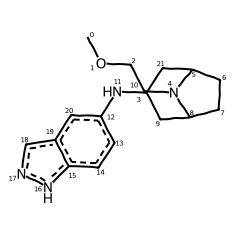 COCCN1C2CCC1CC(Nc1ccc3[nH]ncc3c1)C2